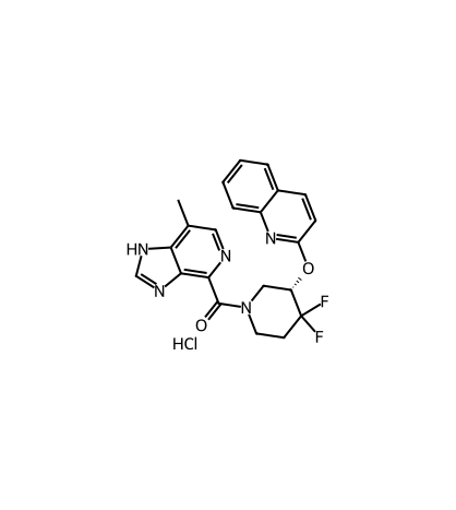 Cc1cnc(C(=O)N2CCC(F)(F)[C@@H](Oc3ccc4ccccc4n3)C2)c2nc[nH]c12.Cl